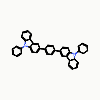 C1=CCCC(N2c3ccc(-c4ccc(-c5ccc6c(c5)c5ccccc5n6-c5ccccc5)cc4)cc3C3C=CC=CC32)=C1